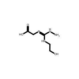 NN/C(=N/CC(=O)O)NCCO